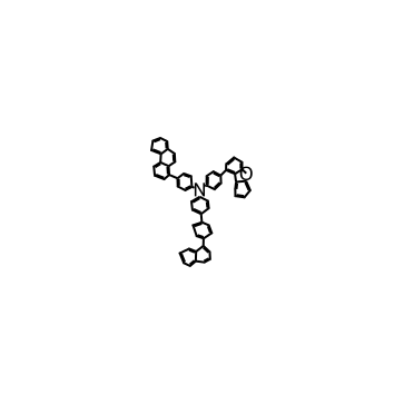 c1ccc2c(-c3ccc(-c4ccc(N(c5ccc(-c6cccc7c6ccc6ccccc67)cc5)c5ccc(-c6cccc7oc8ccccc8c67)cc5)cc4)cc3)cccc2c1